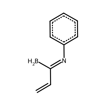 B/C(C=C)=N\c1ccccc1